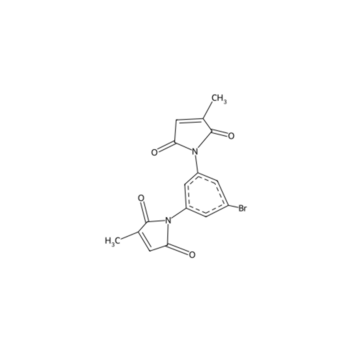 CC1=CC(=O)N(c2cc(Br)cc(N3C(=O)C=C(C)C3=O)c2)C1=O